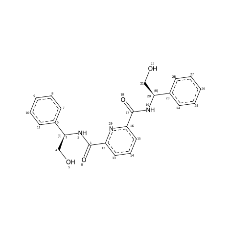 O=C(N[C@@H](CO)c1ccccc1)c1cccc(C(=O)N[C@@H](CO)c2ccccc2)n1